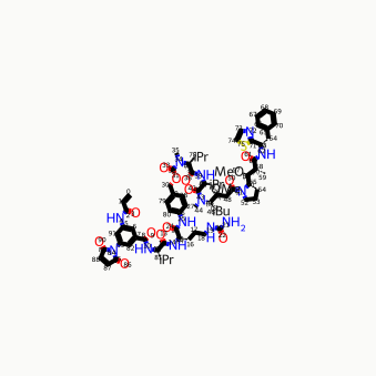 C=CC(=O)Nc1cc(C(=O)N[C@H](C(=O)N[C@@H](CCCNC(N)=O)C(=O)Nc2ccc(COC(=O)N(C)[C@H](C(=O)N[C@H](C(=O)N(C)[C@@H]([C@@H](C)CC)[C@@H](CC(=O)N3CCC[C@H]3[C@H](OC)[C@@H](C)C(=O)N[C@@H](Cc3ccccc3)c3nccs3)OC)C(C)C)C(C)C)cc2)C(C)C)cc(N2C(=O)C=CC2=O)c1